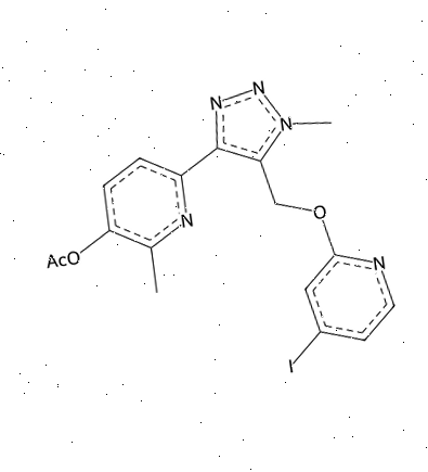 CC(=O)Oc1ccc(-c2nnn(C)c2COc2cc(I)ccn2)nc1C